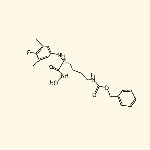 Cc1cc(N[C@H](CCCCNC(=O)OCc2ccccc2)C(=O)NO)cc(C)c1F